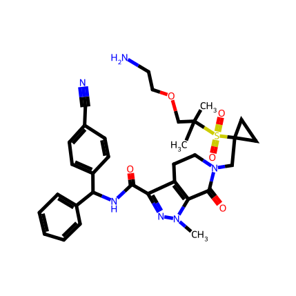 Cn1nc(C(=O)NC(c2ccccc2)c2ccc(C#N)cc2)c2c1C(=O)N(CC1(S(=O)(=O)C(C)(C)COCCN)CC1)CC2